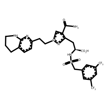 NC(=O)c1cn(CCc2ccc3c(n2)NCCC3)nc1C[C@H](NS(=O)(=O)Cc1cc(C(F)(F)F)cc(C(F)(F)F)c1)C(=O)O